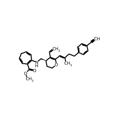 C#Cc1ccc(CC/C(C)=C/C2=C(C=C)[C@H](CNC3=C(C(=O)OC)C=CCC=C3)CCO2)cc1